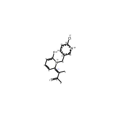 CC(=S)/C(C)=C1\C=CC=C(F)N1Cc1ccc(Cl)nc1